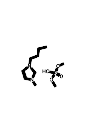 CCCCN1C=CN(C)C1.COP(=O)(O)OC